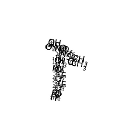 CC(C)(C)c1ccc(C(=O)N[C@@H](Cc2ccc(-c3ncc(-c4ccc(-c5ccc(OC(F)(F)F)cc5F)cc4F)cn3)cc2)C(=O)N2CC(C(=O)O)C2)s1